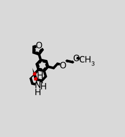 COCCOCCc1cc(-c2ccoc2)cc2c1C[C@H]1NCC[C@@]23CCCC[C@@H]13